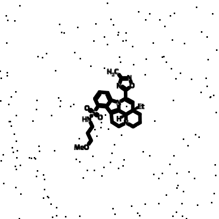 CC[C@@]12C=C(c3nc(C)no3)n3c4c(c5c(S(=O)(=O)NCCCOC)cccc53)CCN(CCC1)[C@H]42